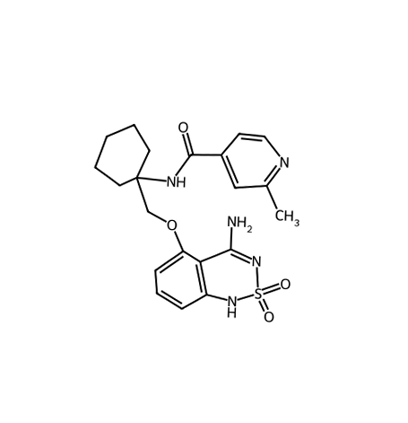 Cc1cc(C(=O)NC2(COc3cccc4c3C(N)=NS(=O)(=O)N4)CCCCC2)ccn1